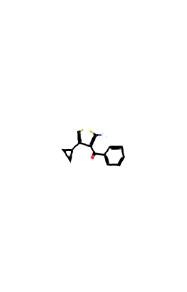 Nc1scc(C2CC2)c1C(=O)c1ccccc1